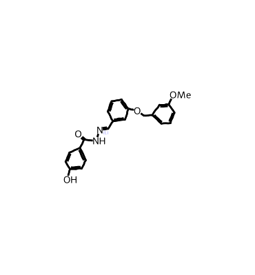 COc1cccc(COc2cccc(/C=N/NC(=O)c3ccc(O)cc3)c2)c1